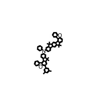 Cc1cc(C)cc(-c2cc3c(c4c2oc2ccccc24)-c2ccc(N(c4ccccc4)c4ccc5c(c4)C(C)(C)c4cc6c(cc4-5)C(C)(C)c4ccc5oc7ccccc7c5c4-6)cc2C3(C)C)c1